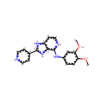 COc1ccc(Nc2nccc3[nH]c(-c4ccncc4)nc23)cc1OC